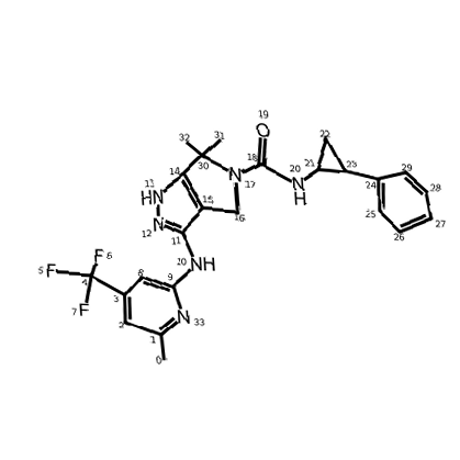 Cc1cc(C(F)(F)F)cc(Nc2n[nH]c3c2CN(C(=O)NC2CC2c2ccccc2)C3(C)C)n1